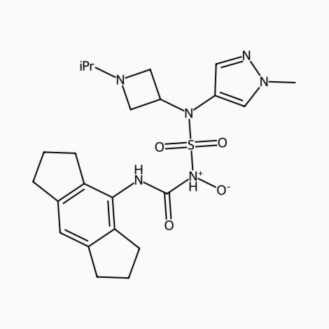 CC(C)N1CC(N(c2cnn(C)c2)S(=O)(=O)[NH+]([O-])C(=O)Nc2c3c(cc4c2CCC4)CCC3)C1